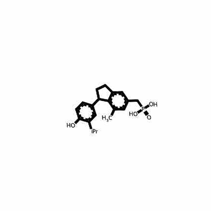 Cc1cc(CP(=O)(O)O)cc2c1C(c1ccc(O)c(C(C)C)c1)CC2